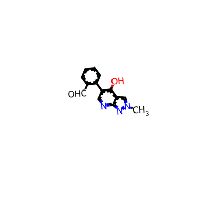 Cn1cc2c(O)c(-c3ccccc3C=O)cnc2n1